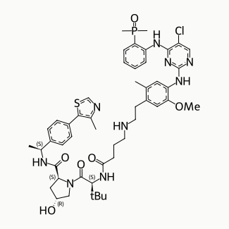 COc1cc(CCNCCCC(=O)N[C@H](C(=O)N2C[C@H](O)C[C@H]2C(=O)N[C@@H](C)c2ccc(-c3scnc3C)cc2)C(C)(C)C)c(C)cc1Nc1ncc(Cl)c(Nc2ccccc2P(C)(C)=O)n1